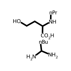 CCCCC(N)N.CCCNC(CCO)C(=O)O